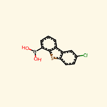 OB(O)c1cccc2c1sc1ccc(Cl)cc12